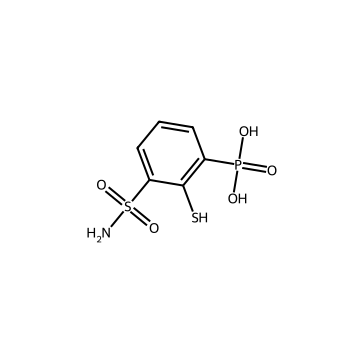 NS(=O)(=O)c1cccc(P(=O)(O)O)c1S